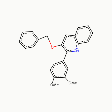 COc1ccc(-c2nc3ccccc3cc2OCc2ccccc2)cc1OC